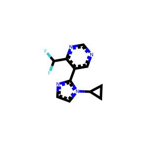 FC(F)c1ncncc1-c1nccn1C1CC1